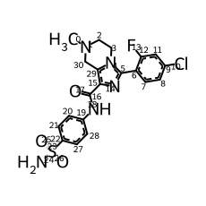 CN1CCn2c(-c3ccc(Cl)cc3F)nc(C(=O)Nc3ccc(S(N)(=O)=O)cc3)c2C1